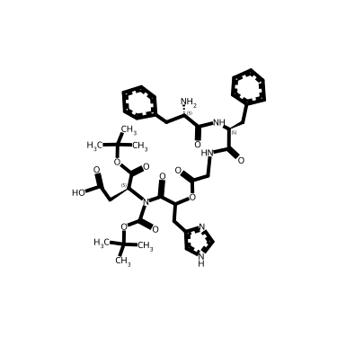 CC(C)(C)OC(=O)[C@H](CC(=O)O)N(C(=O)OC(C)(C)C)C(=O)C(Cc1c[nH]cn1)OC(=O)CNC(=O)[C@H](Cc1ccccc1)NC(=O)[C@@H](N)Cc1ccccc1